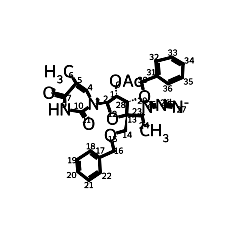 CC(=O)O[C@H]1[C@H](n2cc(C)c(=O)[nH]c2=O)O[C@@](COCc2ccccc2)(C(C)N=[N+]=[N-])[C@H]1OCc1ccccc1